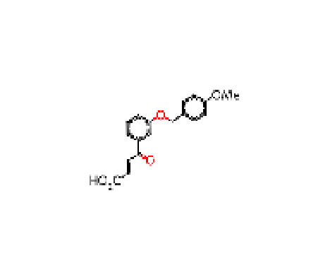 COc1ccc(COc2cccc(C(=O)/C=C/C(=O)O)c2)cc1